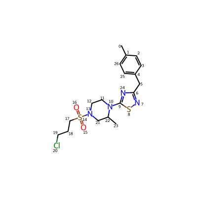 Cc1ccc(Cc2nsc(N3CCN(S(=O)(=O)CCCCl)CC3C)n2)cc1